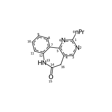 CCCc1ncc2c(n1)-c1ccccc1NC(=O)C2